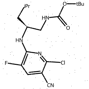 CC(C)C[C@@H](CNC(=O)OC(C)(C)C)Nc1nc(Cl)c(C#N)cc1F